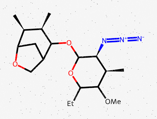 CCC1OC(OC2C3COC(C3)[C@@H](C)[C@H]2C)[C@@H](N=[N+]=[N-])[C@@H](C)C1OC